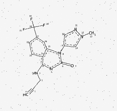 C#CCNc1nc(=O)n(-c2cnn(C)c2)c2cc(C(F)(F)F)ccc12